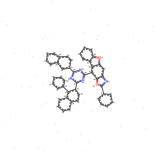 c1ccc(-c2nc3cc4oc5ccccc5c4c(-c4nc(-c5ccc6ccccc6c5)nc(-c5ccc6ccccc6c5-c5ccccc5)n4)c3o2)cc1